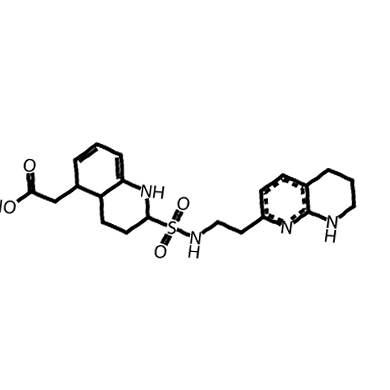 O=C(O)CC1C=CC=C2NC(S(=O)(=O)NCCc3ccc4c(n3)NCCC4)CCC21